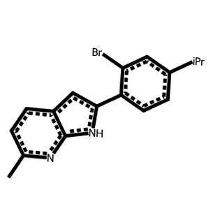 Cc1ccc2cc(-c3ccc(C(C)C)cc3Br)[nH]c2n1